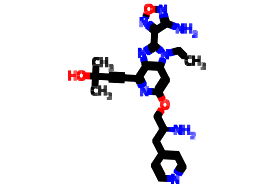 CCn1c(-c2nonc2N)nc2c(C#CC(C)(C)O)nc(OC[C@@H](N)Cc3ccncc3)cc21